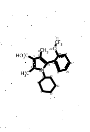 Cc1c(C(=O)O)c(C)n(C2CCCCC2)c1-c1ccccc1OC(F)(F)F